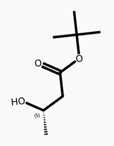 C[C@H](O)CC(=O)OC(C)(C)C